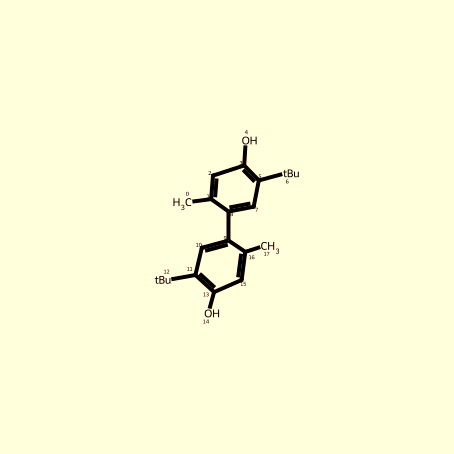 Cc1cc(O)c(C(C)(C)C)cc1-c1cc(C(C)(C)C)c(O)cc1C